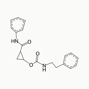 O=C(NCCc1ccccc1)OC1CC1C(=O)Nc1ccccc1